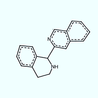 [c]1nc(C2NCCc3ccccc32)cc2ccccc12